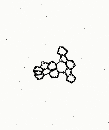 c1ccc(-c2ccc(-n3c4ccccc4c4ccc5c6ccccc6n(-c6ccc7c(c6)oc6ccccc67)c5c43)cc2)cc1